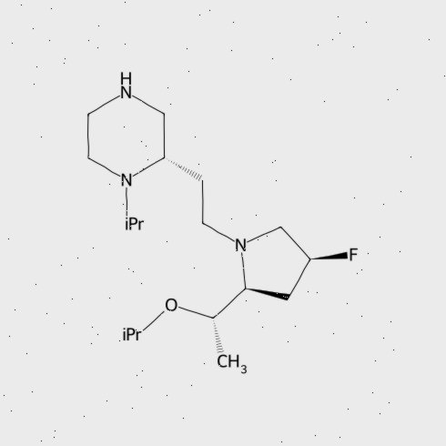 CC(C)O[C@@H](C)[C@@H]1C[C@H](F)CN1CC[C@H]1CNCCN1C(C)C